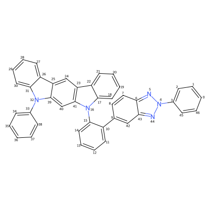 c1ccc(-n2nc3ccc(-c4ccccc4-n4c5ccccc5c5cc6c7ccccc7n(-c7ccccc7)c6cc54)cc3n2)cc1